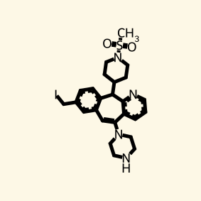 CS(=O)(=O)N1CCC(C2c3ccc(CI)cc3C=C(N3CCNCC3)c3cccnc32)CC1